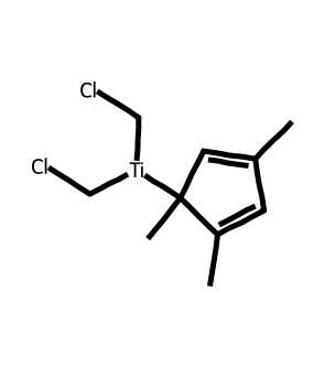 CC1=C[C](C)([Ti]([CH2]Cl)[CH2]Cl)C(C)=C1